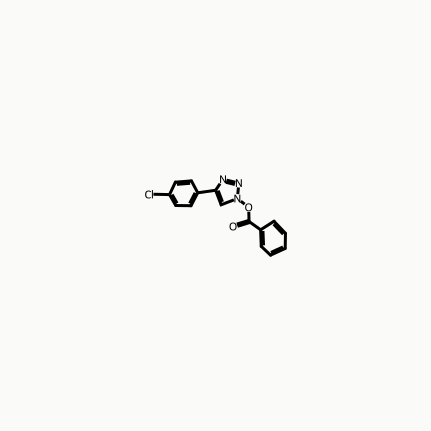 O=C(On1cc(-c2ccc(Cl)cc2)nn1)c1ccccc1